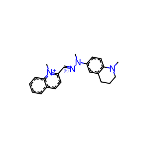 CN1CCCc2cc(N(C)/N=C/c3ccc4ccccc4[n+]3C)ccc21